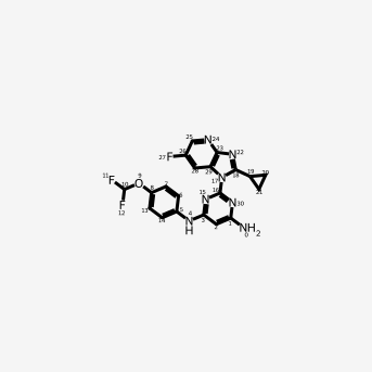 Nc1cc(Nc2ccc(OC(F)F)cc2)nc(-n2c(C3CC3)nc3ncc(F)cc32)n1